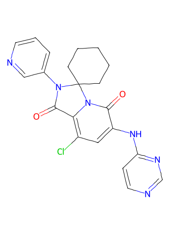 O=C1c2c(Cl)cc(Nc3ccncn3)c(=O)n2C2(CCCCC2)N1c1cccnc1